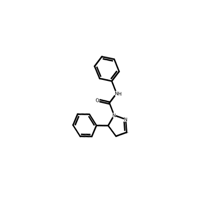 O=C(Nc1ccccc1)N1N=[C]CC1c1ccccc1